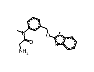 CN(C(=O)CN)c1cccc(COc2nc3ccccc3s2)c1